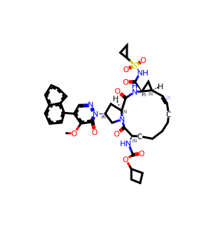 COc1c(-c2cccc3ccccc23)cnn([C@@H]2C[C@H]3C(=O)N[C@]4(C(=O)NS(=O)(=O)C5CC5)C[C@H]4/C=C\CCCCC[C@H](NC(=O)OC4CCC4)C(=O)N3C2)c1=O